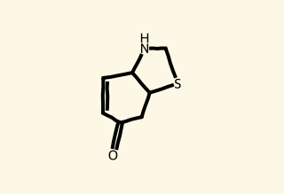 O=C1C=CC2NCSC2C1